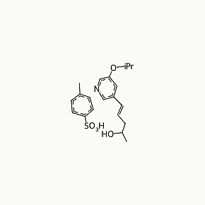 CC(O)CC=Cc1cncc(OC(C)C)c1.Cc1ccc(S(=O)(=O)O)cc1